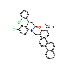 CC(=O)O.O=C1CC(c2ccccc2Cl)c2cc(Cl)ccc2N1Cc1cccc2c1ccc1c3ccccc3ccc21